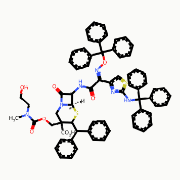 CN(CCO)C(=O)OCC1(C(=O)O)CN2C(=O)C(NC(=O)C(=NOC(c3ccccc3)(c3ccccc3)c3ccccc3)c3csc(NC(c4ccccc4)(c4ccccc4)c4ccccc4)n3)[C@H]2SC1C(c1ccccc1)c1ccccc1